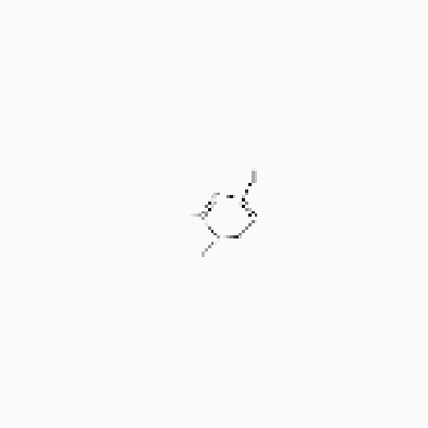 CC1=CC(I)=CCC1C